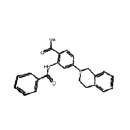 O=C(Nc1cc(N2CCc3ccccc3C2)ccc1C(=O)O)c1ccccc1